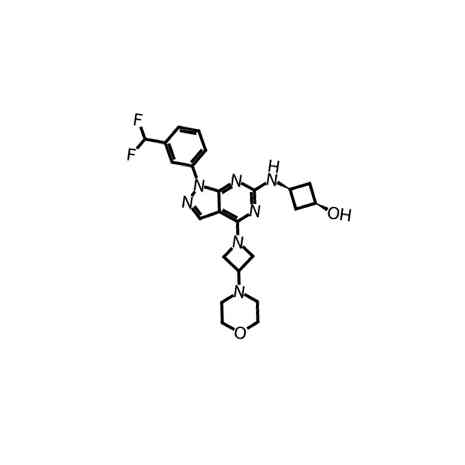 O[C@H]1C[C@@H](Nc2nc(N3CC(N4CCOCC4)C3)c3cnn(-c4cccc(C(F)F)c4)c3n2)C1